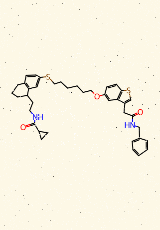 O=C(Cc1csc2ccc(OCCCCCCSc3ccc4c(c3)C(CCNC(=O)C3CC3)CCC4)cc12)NCc1ccccc1